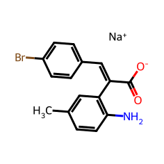 Cc1ccc(N)c(/C(=C\c2ccc(Br)cc2)C(=O)[O-])c1.[Na+]